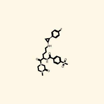 CN1CCN(C(=O)C(CCCN[C@@H]2C[C@H]2c2ccc(F)cc2)NC(=O)c2ccc(S(C)(=O)=O)cc2)CC1=O